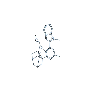 COCOc1c(-c2cc3ccccc3n2C)cc(C)cc1C12CC3CC(CC(C3)C1)C2